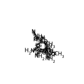 Cc1ccc(C(=O)N[C@@H](CCN)C(=O)N(C)[C@@H]2C(=O)N[C@@H](C)C(=O)N[C@H](C(NCC(=O)NCC#N)=C3CC3)Cc3ccc(OCCN)c(c3)-c3cc2ccc3OCCN)c(C)c1